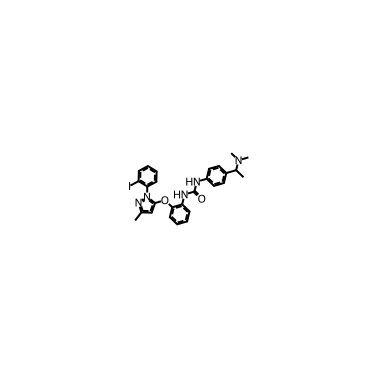 Cc1cc(Oc2ccccc2NC(=O)Nc2ccc(C(C)N(C)C)cc2)n(-c2ccccc2I)n1